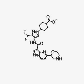 COC(=O)[C@H]1CC[C@H](n2cc(NC(=O)c3cnn4ccc(C5CNCCO5)nc34)c(C(F)F)n2)CC1